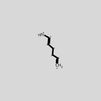 C=CCCC=CCCC